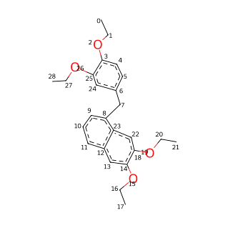 CCOc1ccc(Cc2cccc3cc(OCC)c(OCC)cc23)cc1OCC